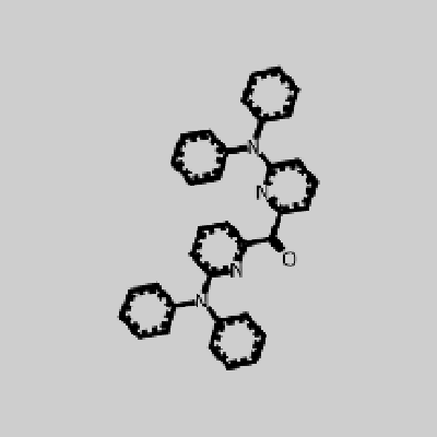 O=C(c1cccc(N(c2ccccc2)c2ccccc2)n1)c1cccc(N(c2ccccc2)c2ccccc2)n1